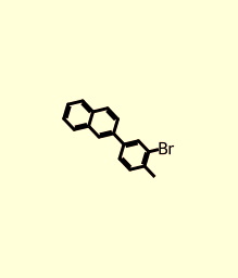 Cc1ccc(-c2ccc3ccccc3c2)cc1Br